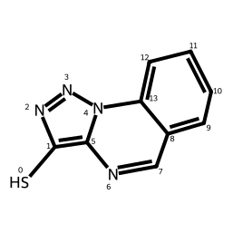 Sc1nnn2c1ncc1ccccc12